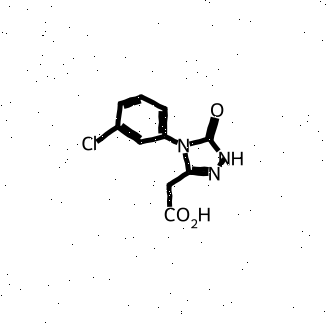 O=C(O)Cc1n[nH]c(=O)n1-c1cccc(Cl)c1